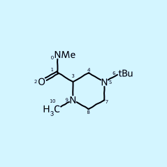 CNC(=O)C1CN(C(C)(C)C)CCN1C